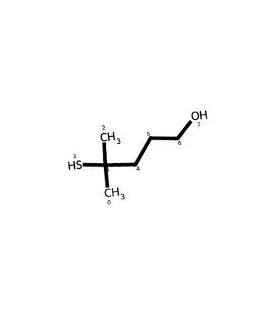 CC(C)(S)CCCO